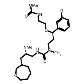 CN[C@H](CNC(=O)N(C)CC[C@@H](OCCNC(=O)OC)c1cccc(Cl)c1)C[C@H]1CCCCOC1